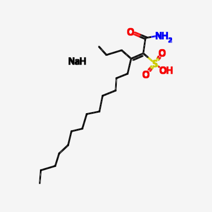 CCCCCCCCCCCCC/C(CCC)=C(/C(N)=O)S(=O)(=O)O.[NaH]